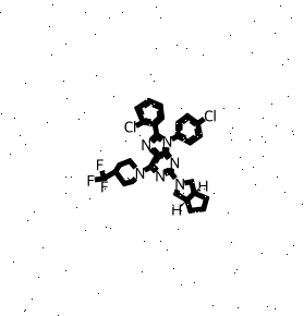 FC(F)(F)C1CCN(c2nc(N3C[C@H]4CCC[C@H]4C3)nc3c2nc(-c2ccccc2Cl)n3-c2ccc(Cl)cc2)CC1